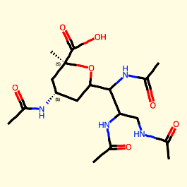 CC(=O)NCC(NC(C)=O)C(NC(C)=O)C1C[C@H](NC(C)=O)C[C@@](C)(C(=O)O)O1